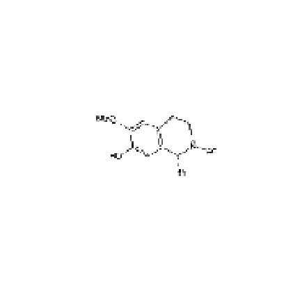 COc1cc2c(cc1O)C(C(C)C)N(C(C)=O)CC2